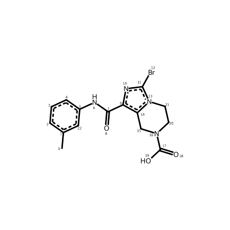 Cc1cccc(NC(=O)c2nc(Br)n3c2CN(C(=O)O)CC3)c1